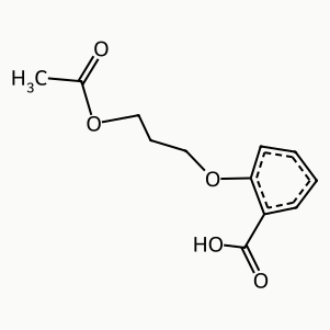 CC(=O)OCCCOc1ccccc1C(=O)O